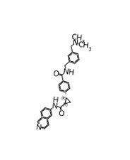 CN(C)Cc1cccc(CNC(=O)c2ccc([C@@H]3C[C@H]3C(=O)Nc3ccc4cnccc4c3)cc2)c1